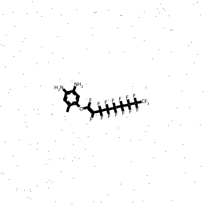 Cc1cc(N)c(N)cc1OC(F)=C(F)C(F)(F)C(F)(F)C(F)(F)C(F)(F)C(F)(F)C(F)(F)C(F)(F)F